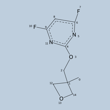 CC1(COc2nc(F)cc(F)n2)COC1